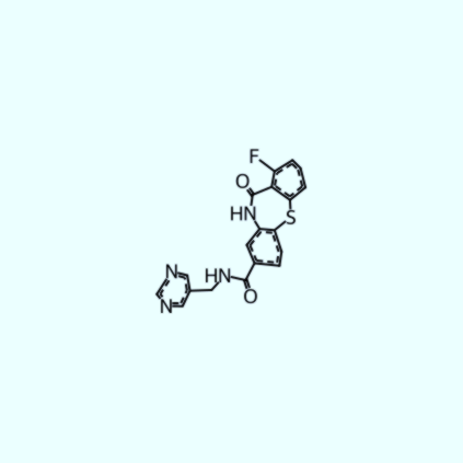 O=C(NCc1cncnc1)c1ccc2c(c1)NC(=O)c1c(F)cccc1S2